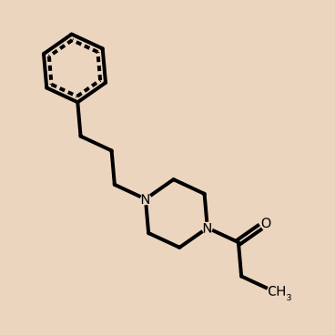 CCC(=O)N1CCN(CCCc2ccccc2)CC1